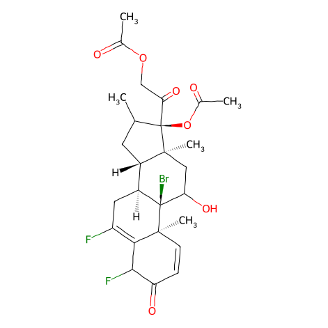 CC(=O)OCC(=O)[C@@]1(OC(C)=O)C(C)C[C@H]2[C@@H]3CC(F)=C4C(F)C(=O)C=C[C@]4(C)[C@@]3(Br)C(O)C[C@@]21C